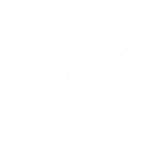 O=c1cc(OCc2cccs2)ccn1CCc1ccc(CN2CCCC2)cc1